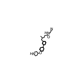 CC(CCC(=O)NCC#N)Cc1cccc(-c2ccc(OC3CCNCC3)cc2)c1